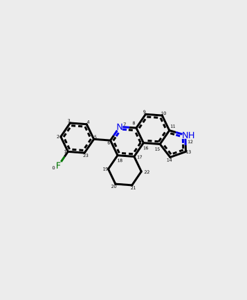 Fc1cccc(-c2nc3ccc4[nH]ccc4c3c3c2CCCC3)c1